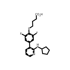 O=C(O)CCCSc1c(F)cc(-c2cccnc2NC2CCCC2)cc1F